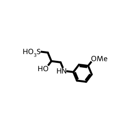 COc1cccc(NCC(O)CS(=O)(=O)O)c1